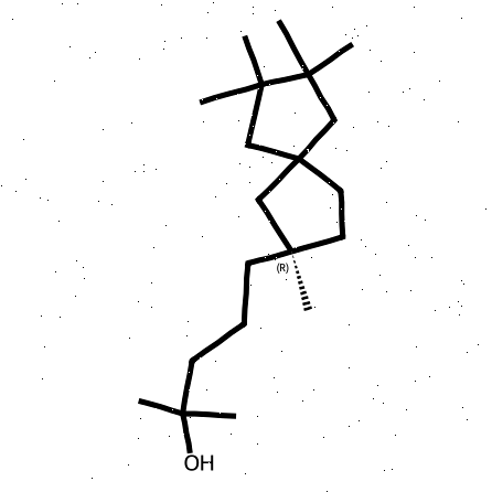 CC(C)(O)CCC[C@]1(C)CCC2(CC(C)(C)C(C)(C)C2)C1